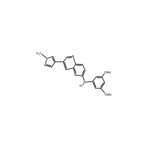 CCN(c1cc(OC)cc(OC)c1)c1ccc2ncc(-c3cnn(C)c3)cc2n1